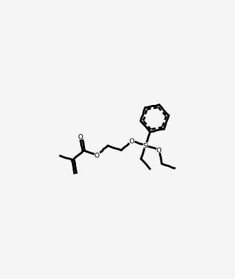 C=C(C)C(=O)OCCO[Si](CC)(OCC)c1ccccc1